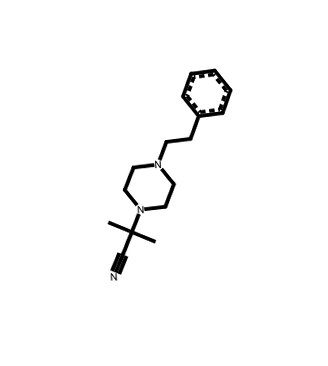 CC(C)(C#N)N1CCN(CCc2ccccc2)CC1